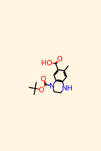 Cc1cc2c(cc1C(=O)O)N(C(=O)OC(C)(C)C)CCN2